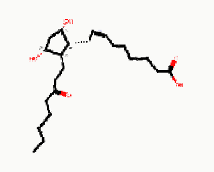 CCCCCC(=O)CC[C@@H]1[C@@H](C/C=C\CCCCCC(=O)O)[C@@H](O)C[C@H]1O